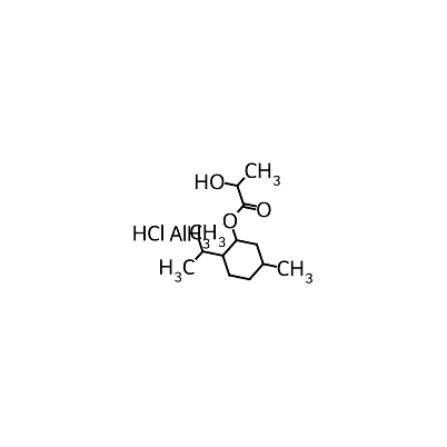 CC1CCC(C(C)C)C(OC(=O)C(C)O)C1.Cl.[AlH3]